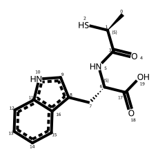 C[C@H](S)C(=O)N[C@@H](Cc1c[nH]c2ccccc12)C(=O)O